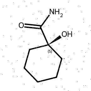 NC(=O)[C@]1(O)[CH]CCCC1